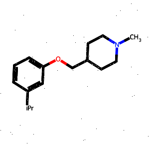 CC(C)c1cccc(OCC2CCN(C)CC2)c1